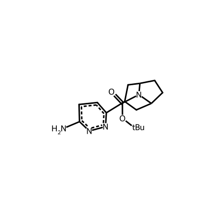 CC(C)(C)OC(=O)N1C2CCC1CC(c1ccc(N)nn1)C2